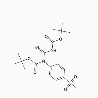 CC(C)(C)OC(=O)NC(=N)N(C(=O)OC(C)(C)C)c1ccc(S(C)(=O)=O)cc1